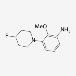 COc1c(N)cccc1N1CCC(F)CC1